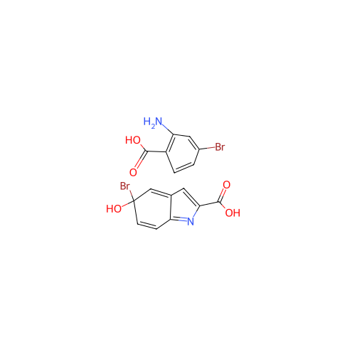 Nc1cc(Br)ccc1C(=O)O.O=C(O)C1=CC2=CC(O)(Br)C=CC2=N1